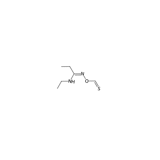 CCN/C(CC)=N\OC=S